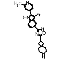 CCc1c(-c2ccnc(C)c2)[nH]c2ccc(-c3noc(C4CC5(CCNCC5)C4)n3)cc12